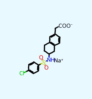 O=C([O-])Cc1ccc2c(c1)CCC(NS(=O)(=O)c1ccc(Cl)cc1)C2.[Na+]